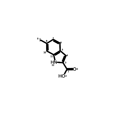 O=C(O)c1cc2ccc(I)cc2[nH]1